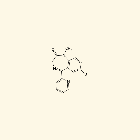 CN1C(=O)CN=C(c2ccccn2)c2cc(Br)ccc21